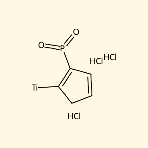 Cl.Cl.Cl.O=P(=O)C1=[C]([Ti])CC=C1